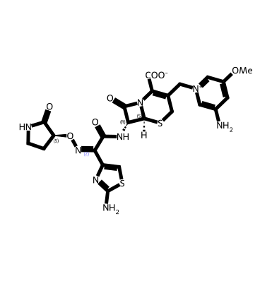 COc1cc(N)c[n+](CC2=C(C(=O)[O-])N3C(=O)[C@@H](NC(=O)/C(=N\O[C@H]4CCNC4=O)c4csc(N)n4)[C@@H]3SC2)c1